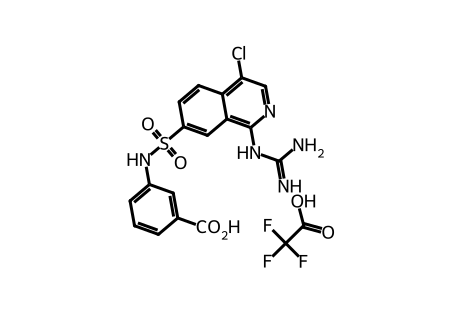 N=C(N)Nc1ncc(Cl)c2ccc(S(=O)(=O)Nc3cccc(C(=O)O)c3)cc12.O=C(O)C(F)(F)F